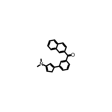 CN(C)C1=CCC(c2cccc(C(=O)c3ccc4ccccc4c3)c2)=C1